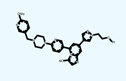 COc1ccc(CN2CCN(c3ccc(-c4cc(-c5cnn(CCOC(C)C)c5)cc5ncc(C#N)n45)cn3)CC2)cn1